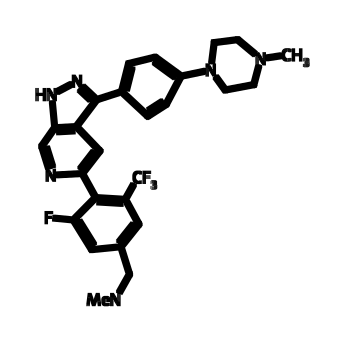 CNCc1cc(F)c(-c2cc3c(-c4ccc(N5CCN(C)CC5)cc4)n[nH]c3cn2)c(C(F)(F)F)c1